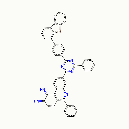 N=C1C=Cc2c(-c3ccccc3)nc3cc(-c4nc(-c5ccccc5)nc(-c5ccc(-c6cccc7c6sc6ccccc67)cc5)n4)ccc3c2C1=N